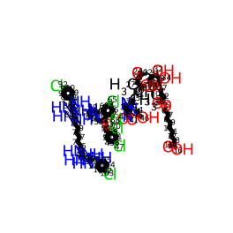 C/C(=C\C(=O)OCCCCCCCCC(=O)O)C[C@@H]1OC[C@H](C[C@@H]2O[C@H]2[C@@H](C)[C@H](C)O)[C@@H](O)[C@H]1O.Cc1ncc([N+](=O)[O-])n1CCO.Clc1ccc(COC(Cn2ccnc2)c2ccc(Cl)cc2Cl)c(Cl)c1.N=C(NCCCCCCNC(=N)NC(=N)Nc1ccc(Cl)cc1)NC(=N)Nc1ccc(Cl)cc1